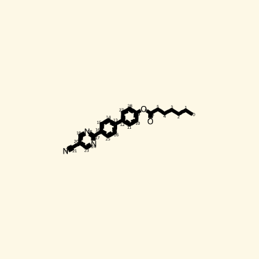 CCCCCCC(=O)Oc1ccc(-c2ccc(-c3ncc(C#N)cn3)cc2)cc1